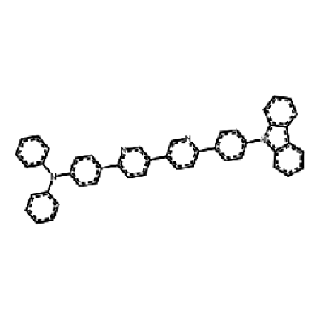 c1ccc(N(c2ccccc2)c2ccc(-c3ccc(-c4ccc(-c5ccc(-n6c7ccccc7c7ccccc76)cc5)nc4)cn3)cc2)cc1